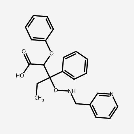 CCC(ONCc1cccnc1)(c1ccccc1)C(Oc1ccccc1)C(=O)O